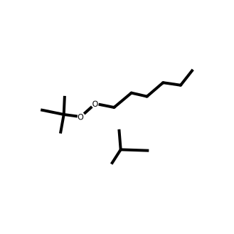 CC(C)C.CCCCCCOOC(C)(C)C